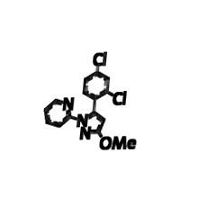 COc1cc(-c2ccc(Cl)cc2Cl)n(-c2ccccn2)n1